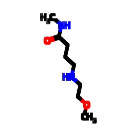 CNC(=O)CCCNCCOC